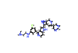 CN(C)CCNc1cc(F)cc(-c2nccc3[nH]c(-c4n[nH]c5cnc(-c6cncnc6)cc45)cc23)c1